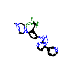 CN1CCN(c2ccc(Nc3nccc(-c4cccnc4)n3)cc2C(F)(F)F)CC1